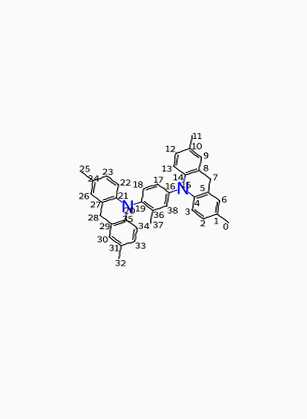 Cc1ccc2c(c1)Cc1cc(C)ccc1N2c1ccc(N2c3ccc(C)cc3Cc3cc(C)ccc32)c(C)c1